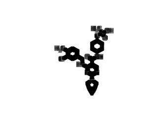 Cc1ccc(CNc2nc(N3CC4CC4C3)ncc2C(=O)N[C@H]2CC[C@H](OP(C)(=O)O)CC2)cc1Cl